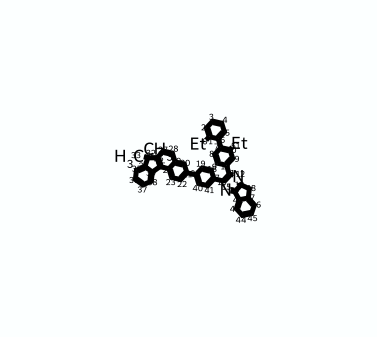 CCc1ccccc1-c1ccc(-c2nc3c(nc2-c2ccc(-c4ccc5c6c(ccc5c4)C(C)(C)c4ccccc4-6)cc2)-c2ccccc2C3)cc1CC